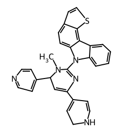 CN1C(n2c3ccccc3c3c4sccc4ccc32)=NC(C2=CCNC=C2)=CC1c1ccncc1